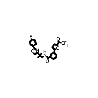 CC(C)(CNC(=O)c1cccc(-c2ccc(C(=O)C(F)(F)F)o2)c1)c1coc(-c2ccc(F)cc2)n1